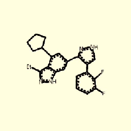 CCc1n[nH]c2cc(-c3n[nH]cc3-c3cccc(F)c3F)cc(C3CCCC3)c12